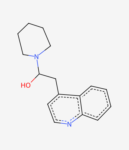 OC(Cc1ccnc2ccccc12)N1CCCCC1